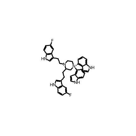 Fc1ccc2[nH]cc(CCC3C[N+](c4cccc5[nH]ccc45)(c4cccc5[nH]ccc45)CCN3CCc3c[nH]c4ccc(F)cc34)c2c1